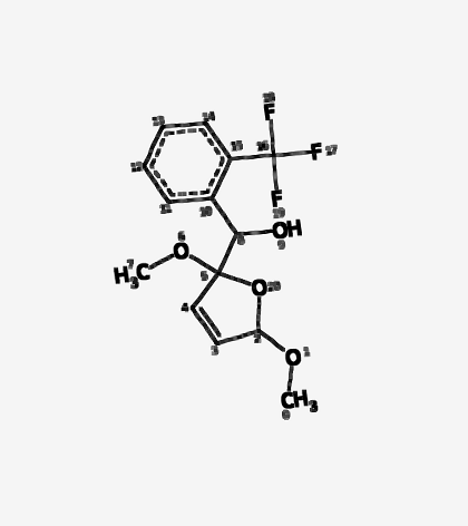 COC1C=CC(OC)(C(O)c2ccccc2C(F)(F)F)O1